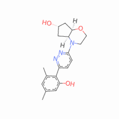 Cc1cc(C)c(-c2ccc(N3CCO[C@@H]4C[C@@H](O)C[C@@H]43)nn2)c(O)c1